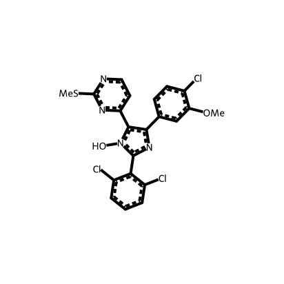 COc1cc(-c2nc(-c3c(Cl)cccc3Cl)n(O)c2-c2ccnc(SC)n2)ccc1Cl